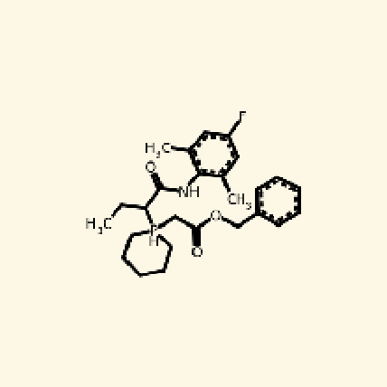 CCC(C(=O)Nc1c(C)cc(F)cc1C)[PH]1(CC(=O)OCc2ccccc2)CCCCC1